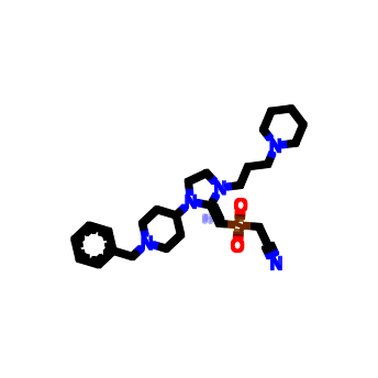 N#CCS(=O)(=O)/C=C1\N(CCCN2CCCCC2)CCN1C1CCN(Cc2ccccc2)CC1